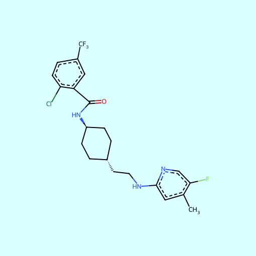 Cc1cc(NCC[C@H]2CC[C@H](NC(=O)c3cc(C(F)(F)F)ccc3Cl)CC2)ncc1F